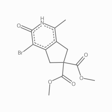 COC(=O)C1(C(=O)OC)Cc2c(C)[nH]c(=O)c(Br)c2C1